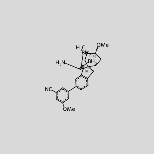 BC1(B)OC(N)=N[C@]12c1cc(-c3cc(C#N)cc(OC)c3)ccc1C[C@@]21CC[C@H](OC)[C@@H](C)C1